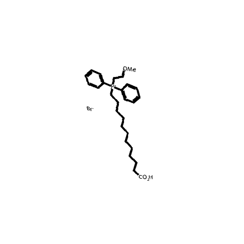 COCC[P+](CCCCCCCCCCCC(=O)O)(c1ccccc1)c1ccccc1.[Br-]